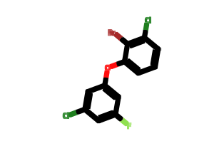 Fc1cc(Cl)cc(Oc2cc[c]c(Cl)c2Br)c1